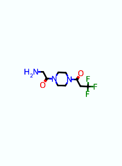 NCC(=O)N1CCN(C(=O)CC(F)(F)F)CC1